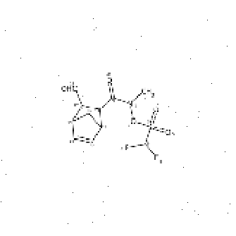 CN(OS(=O)(=O)C(F)F)C(=O)C1C2C=CC(C2)C1C=O